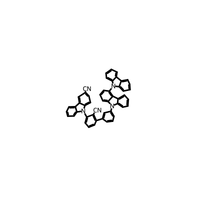 N#Cc1ccc2c(c1)c1ccccc1n2-c1cccc(-c2cccc(-n3c4ccccc4c4c(-n5c6ccccc6c6ccccc65)cccc43)c2)c1C#N